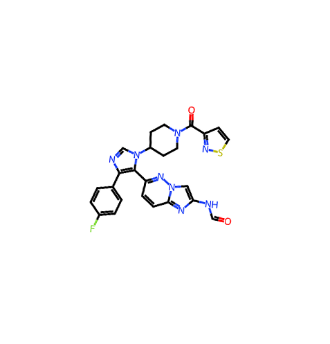 O=CNc1cn2nc(-c3c(-c4ccc(F)cc4)ncn3C3CCN(C(=O)c4ccsn4)CC3)ccc2n1